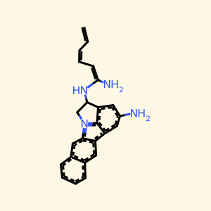 C=C/C=C\C=C(\N)NC1Cn2c3cc4ccccc4cc3c3cc(N)cc1c32